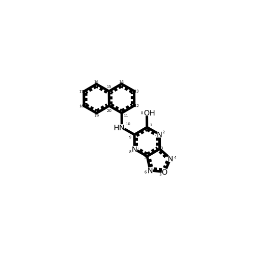 Oc1nc2nonc2nc1Nc1cccc2ccccc12